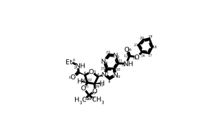 CCNC(=O)[C@H]1O[C@@H](n2cnc3c(NC(=O)Oc4ccccc4)ncnc32)[C@@H]2OC(C)(C)O[C@@H]21